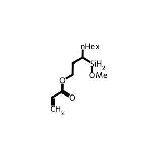 C=CC(=O)OCCC(CCCCCC)[SiH2]OC